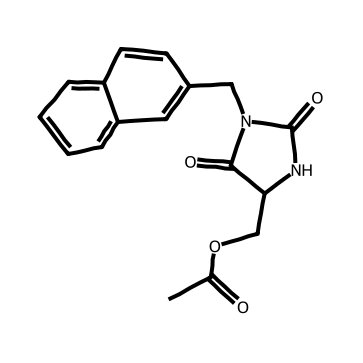 CC(=O)OCC1NC(=O)N(Cc2ccc3ccccc3c2)C1=O